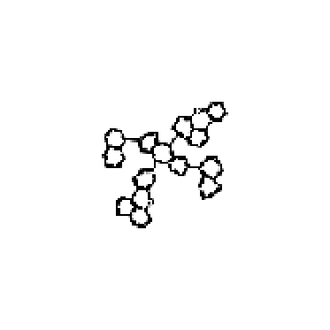 c1ccc2c(c1)Oc1ccc(-c3c4ccc(-c5cccc6ccccc56)cc4c(-c4ccc5c(c4)Oc4cccc6cccc-5c46)c4ccc(-c5cccc6ccccc56)cc34)c3cccc-2c13